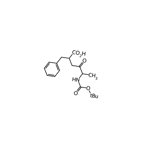 CC(NC(=O)OC(C)(C)C)C(=O)CC(Cc1ccccc1)C(=O)O